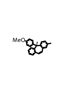 COc1ccc([C@@]2(C)c3ccccc3C=Cc3cc(C)ccc32)cc1